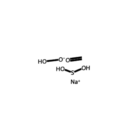 C=O.OSO.[Na+].[O-]O